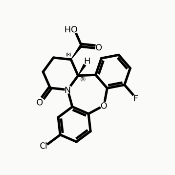 O=C(O)[C@@H]1CCC(=O)N2c3cc(Cl)ccc3Oc3c(F)cccc3[C@@H]12